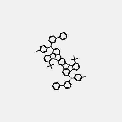 Cc1ccc(N(c2cccc(-c3ccccc3)c2)c2ccc3c4cc5c(cc4n4c6c(C(C)(C)C)cccc6c2c34)c2ccc(N(c3ccc(C)cc3)c3cccc(-c4ccccc4)c3)c3c4cccc(C(C)(C)C)c4n5c23)cc1